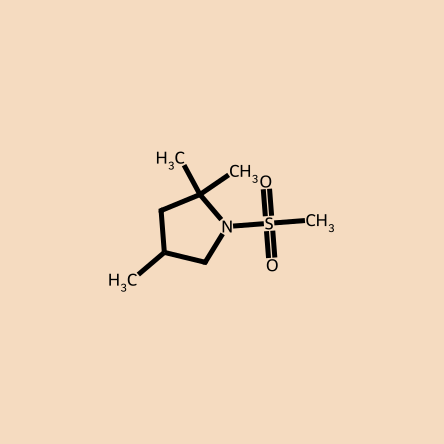 CC1CN(S(C)(=O)=O)C(C)(C)C1